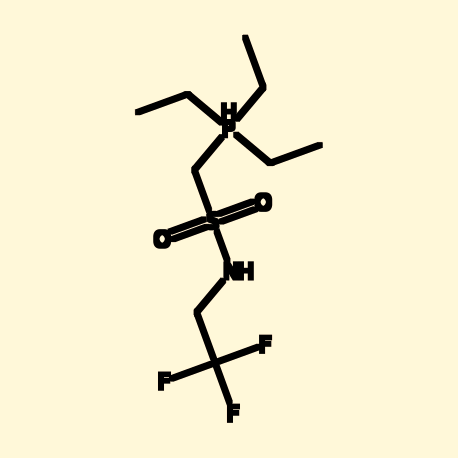 CC[PH](CC)(CC)CS(=O)(=O)NCC(F)(F)F